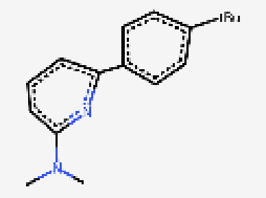 CN(C)c1cccc(-c2ccc(C(C)(C)C)cc2)n1